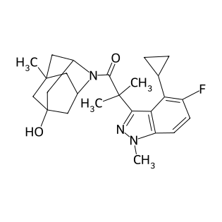 Cn1nc(C(C)(C)C(=O)N2C3CC4(C)CC2CC(O)(C3)C4)c2c(C3CC3)c(F)ccc21